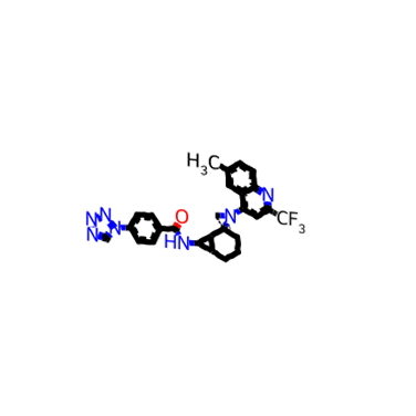 Cc1ccc2nc(C(F)(F)F)cc(N3C[C@@]34CCCC3C(NC(=O)c5ccc(-n6cnnn6)cc5)C34)c2c1